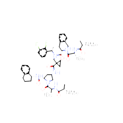 CN[C@@H](C)C(=O)NC(C(=O)N1C[C@@H](NC(=O)C2(CN(C(=O)[C@@H]3Cc4ccccc4CN3C(=O)[C@@H](NC(=O)[C@H](C)NC)C(C)(C)C)[C@H](C)c3cccc(F)c3F)CC2)C[C@H]1C(=O)N[C@@H]1CCCc2ccccc21)C(C)(C)C